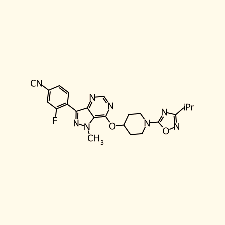 [C-]#[N+]c1ccc(-c2nn(C)c3c(OC4CCN(c5nc(C(C)C)no5)CC4)ncnc23)c(F)c1